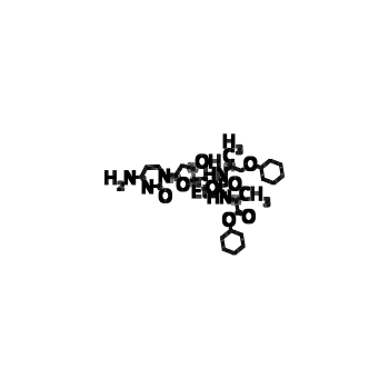 CC[C@]1(COP(=O)(N[C@@H](C)C(=O)OC2CCCCC2)N[C@@H](C)COC2CCCCC2)O[C@@H](n2ccc(N)nc2=O)C[C@@H]1O